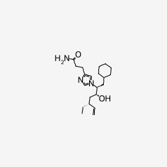 C=C[C@H](CC)C[C@H](O)[C@H](CC1CCCCC1)n1cnc(CCC(N)=O)c1